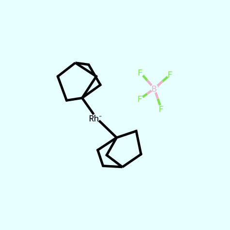 C1C[C]2([Rh-][C]34CCC(CC3)C4)CCC1C2.F[B-](F)(F)F